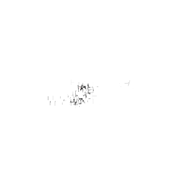 CCCCCCCCCCC(=O)O[C@@]12C[C@@H](C)[C@]34C=C(C)[C@H](O)[C@@]3(O)[C@H](O)C3(COC(=O)C(C)C(C)C)OC3[C@](N)(C4O)[C@@H]1C2(C)C